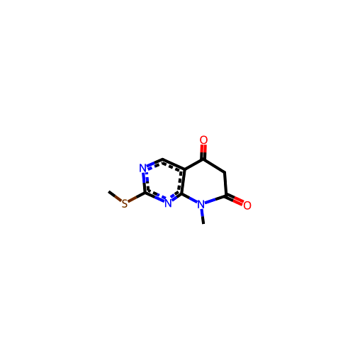 CSc1ncc2c(n1)N(C)C(=O)CC2=O